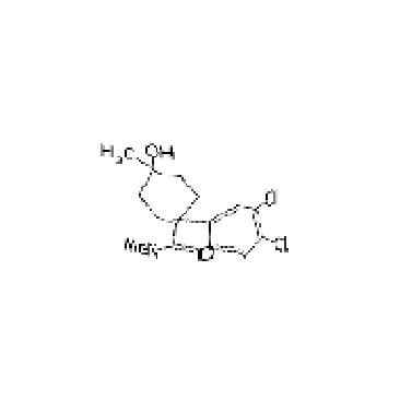 CNC(=O)C1(c2ccc(Cl)c(Cl)c2)CCC(C)(O)CC1